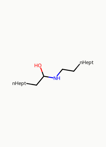 CCCCCCCCCNC(O)CCCCCCCC